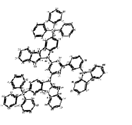 c1ccc([Si](c2ccccc2)(c2ccccc2)c2ccc3c(c2)n2c4ccccc4nc2n3-c2cc(-n3c4ccc([Si](c5ccccc5)(c5ccccc5)c5ccccc5)cc4n4c5ccccc5nc34)nc(-c3cccc(-n4c5ccccc5c5ccccc54)c3)n2)cc1